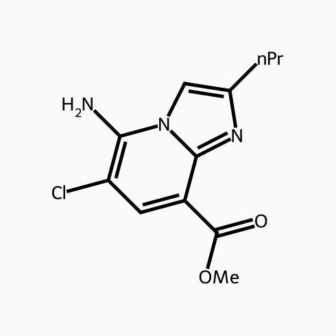 CCCc1cn2c(N)c(Cl)cc(C(=O)OC)c2n1